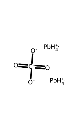 [O]=[Cr](=[O])([O-])[O-].[PbH4+].[PbH4+]